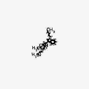 CCCCCn1cc(-c2nc(CN(CCOC)C(C)C)cs2)c2ccccc21